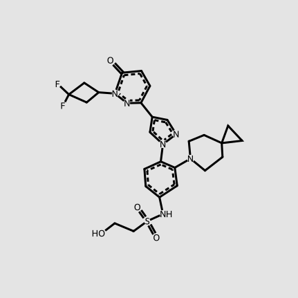 O=c1ccc(-c2cnn(-c3ccc(NS(=O)(=O)CCO)cc3N3CCC4(CC3)CC4)c2)nn1C1CC(F)(F)C1